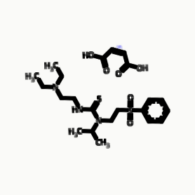 CCN(CC)CCNC(=S)N(CCS(=O)(=O)c1ccccc1)C(C)C.O=C(O)/C=C\C(=O)O